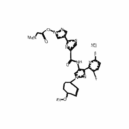 CCOC1CCC(n2cc(NC(=O)c3csc(-c4cnn(OC(=O)CNC)c4)n3)c(-c3nc(F)ccc3F)n2)CC1.Cl